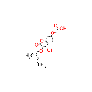 CCCC(C)COc1c(O)c2ccc(OCC(=O)O)cc2oc1=O